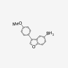 Bc1ccc2occ(-c3ccc(OC)cc3)c2c1